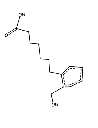 O=C(O)CCCCCCc1ccccc1CO